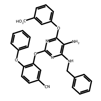 N#Cc1ccc(Oc2ccccc2)c(Oc2nc(NCc3ccccc3)c(N)c(Oc3cccc(C(=O)O)c3)n2)c1